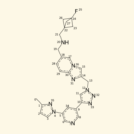 Cc1ccn(-c2cncc(-c3cn(Cc4cn5cc(CNCC67CC(F)(C6)C7)ccc5n4)nn3)c2)n1